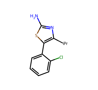 CC(C)c1nc(N)sc1-c1ccccc1Cl